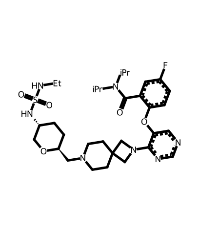 CCNS(=O)(=O)N[C@@H]1CC[C@@H](CN2CCC3(CC2)CN(c2ncncc2Oc2ccc(F)cc2C(=O)N(C(C)C)C(C)C)C3)OC1